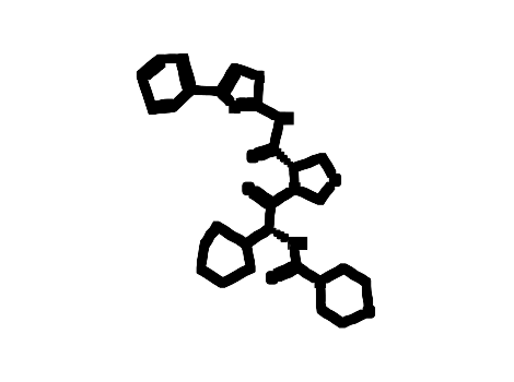 O=C(Nc1nc(-c2ccccc2)cs1)[C@@H]1COCN1C(=O)[C@H](NC(=O)N1CCOCC1)C1CCCCC1